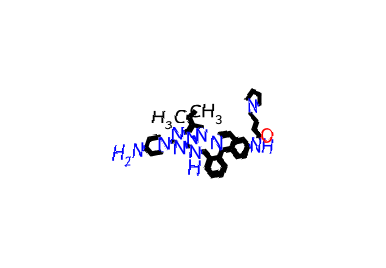 CC(C)c1cnn2c(NCc3ccccc3-c3nccc4cc(NC(=O)/C=C/CN5CCCC5)ccc34)nc(N3CCC(N)CC3)nc12